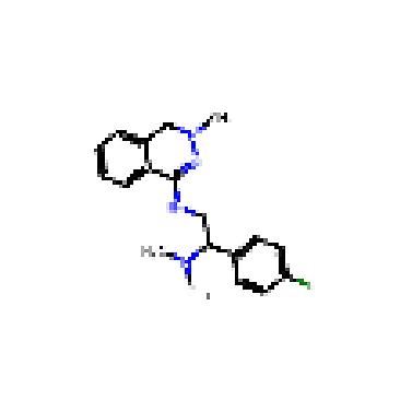 CN1Cc2ccccc2C(NCC(c2ccc(F)cc2)N(C)C)=N1